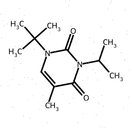 Cc1cn(C(C)(C)C)c(=O)n(C(C)C)c1=O